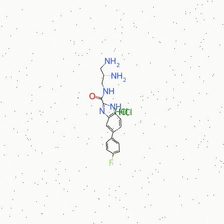 Cl.Cl.NC[C@H](N)CNC(=O)c1nc2cc(-c3ccc(F)cc3)ccc2[nH]1